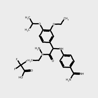 CCOc1cc(C(Nc2ccc(C(=N)N)cc2)C(=O)N(N)CC)ccc1OC(C)C.O=C(O)C(F)(F)F